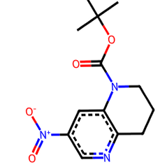 CC(C)(C)OC(=O)N1CCCc2ncc([N+](=O)[O-])cc21